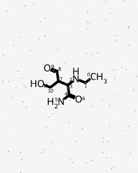 CCNC(C(N)=O)C(C=O)CO